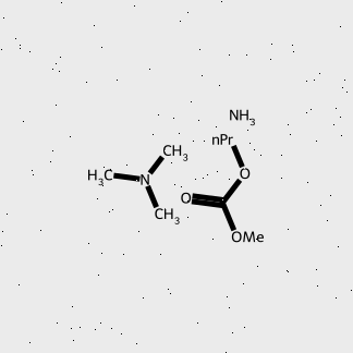 CCCOC(=O)OC.CN(C)C.N